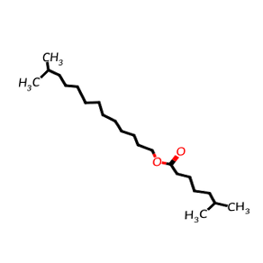 CC(C)CCCCCCCCCCCOC(=O)CCCCC(C)C